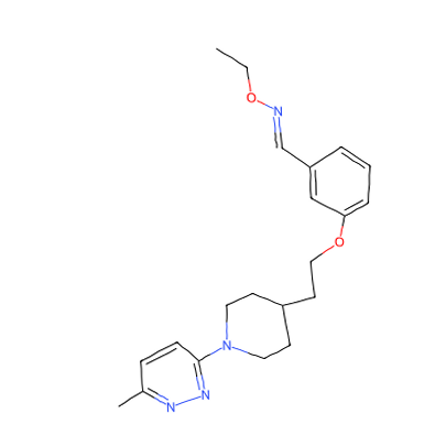 CCON=Cc1cccc(OCCC2CCN(c3ccc(C)nn3)CC2)c1